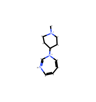 CN1CCC(N2C=CC=CN=C2)CC1